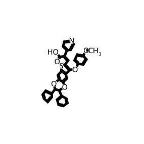 COc1ccc(Oc2c(C=C(C(=O)O)c3ccncc3)sc3cc4c(cc23)OC(c2ccccc2)C(c2ccccc2)O4)cc1